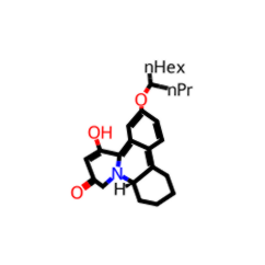 CCCCCCC(CCC)Oc1ccc2c(c1)=C1C(O)=CC(=O)CN1[C@H]1CCCCC=21